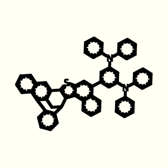 c1ccc(N(c2ccccc2)c2cc(-c3cc4sc5c(c4c4ccccc34)C3Cc4c-5cc5ccccc5c4-c4ccccc43)cc(N(c3ccccc3)c3ccccc3)c2)cc1